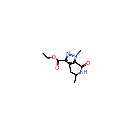 CCOC(=O)c1nn(C)c2c1CC(C)NC2=O